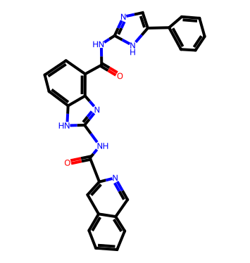 O=C(Nc1nc2c(C(=O)Nc3ncc(-c4ccccc4)[nH]3)cccc2[nH]1)c1cc2ccccc2cn1